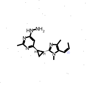 C/C=C\c1c(C)nc([C@@H]2C[C@H]2c2cc(NN)nc(C)n2)n1C